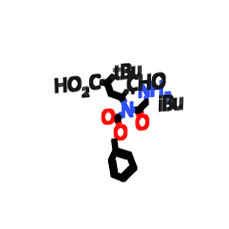 CC[C@H](C)[C@H](N)C(=O)N(C(=O)OCc1ccccc1)[C@H]([C]=O)CC(C(=O)O)C(C)(C)C